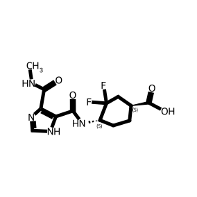 CNC(=O)c1nc[nH]c1C(=O)N[C@H]1CC[C@H](C(=O)O)CC1(F)F